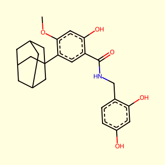 COc1cc(O)c(C(=O)NCc2ccc(O)cc2O)cc1C12CC3CC(CC(C3)C1)C2